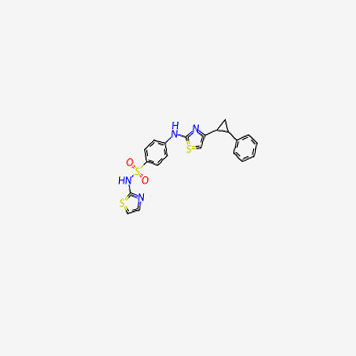 O=S(=O)(Nc1nccs1)c1ccc(Nc2nc(C3CC3c3ccccc3)cs2)cc1